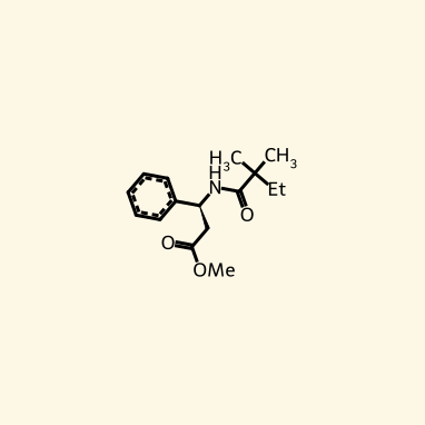 CCC(C)(C)C(=O)N[C@@H](CC(=O)OC)c1ccccc1